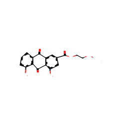 COCCOC(=O)c1cc(O)c2c(c1)C(=O)c1cccc(O)c1C2=O